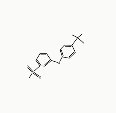 CC(C)(C)c1ccc(Oc2cccc(S(C)(=O)=O)c2)cc1